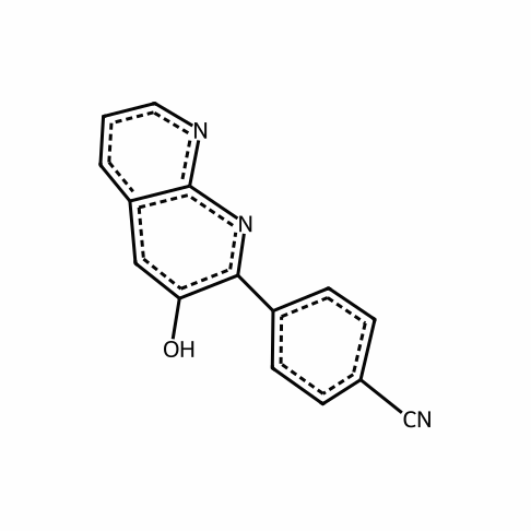 N#Cc1ccc(-c2nc3ncccc3cc2O)cc1